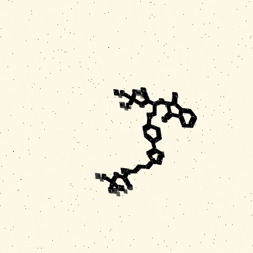 CC(C)(C)OC(=O)NCCCn1cnc(-c2ccc(OCC(ON3C(=O)c4ccccc4C3=O)C(=O)OC(C)(C)C)cc2)c1